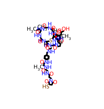 CC[C@H](C)C1NC(=O)CNC(=O)[C@H]2Cc3c([nH]c4ccccc34)SC[C@H](NC(=O)CNC1=O)C(=O)N[C@@H](CC(=O)NCc1ccc(NC(=O)[C@H](C)NC(=O)CNC(=O)CCN3C(=O)CC(S)C3=O)cc1)C(=O)N1CCC[C@H]1C(=O)NC([C@@H](C)[C@@H](O)CO)C(=O)N2